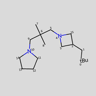 CC(C)(C)CC1CN(CC(C)(C)CN2CCCC2)C1